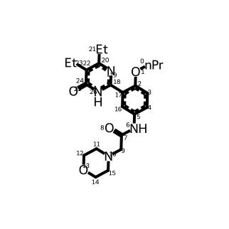 CCCOc1ccc(NC(=O)CN2CCOCC2)cc1-c1nc(CC)c(CC)c(=O)[nH]1